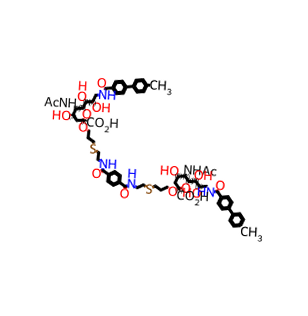 CC(=O)N[C@H]1[C@H]([C@H](O)[C@H](O)CNC(=O)c2ccc(-c3ccc(C)cc3)cc2)O[C@@](OCCCSCCNC(=O)c2ccc(C(=O)NCCSCCCO[C@]3(C(=O)O)C[C@H](O)[C@@H](NC(C)=O)[C@H]([C@H](O)[C@H](O)CNC(=O)c4ccc(-c5ccc(C)cc5)cc4)O3)cc2)(C(=O)O)C[C@@H]1O